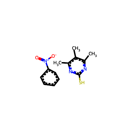 Cc1nc(S)nc(C)c1C.O=[N+]([O-])c1ccccc1